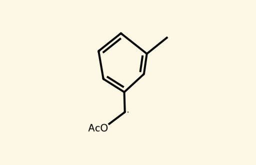 CC(=O)O[CH]c1cccc(C)c1